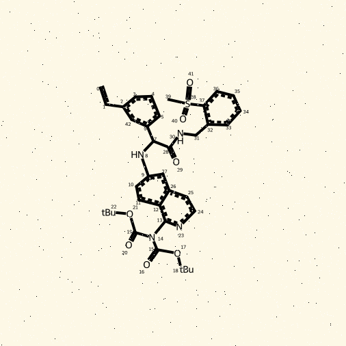 C=Cc1cccc(C(Nc2ccc3c(N(C(=O)OC(C)(C)C)C(=O)OC(C)(C)C)nccc3c2)C(=O)NCc2ccccc2S(C)(=O)=O)c1